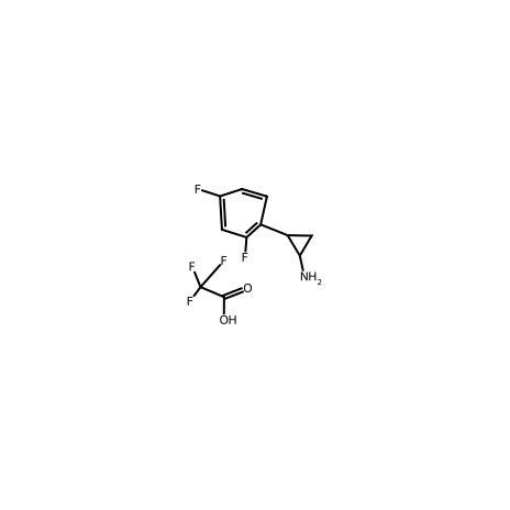 NC1CC1c1ccc(F)cc1F.O=C(O)C(F)(F)F